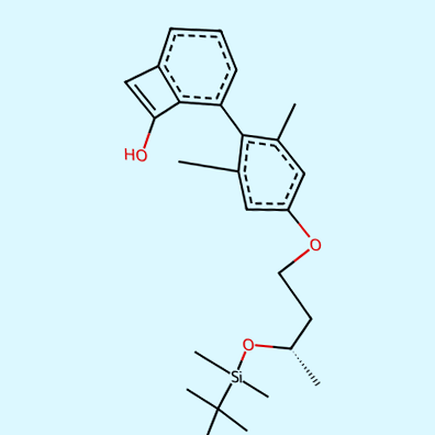 Cc1cc(OCC[C@H](C)O[Si](C)(C)C(C)(C)C)cc(C)c1-c1cccc2c1C(O)=C2